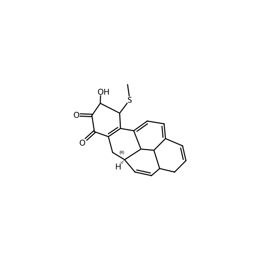 CSC1C2=C(C[C@@H]3C=CC4CC=CC5=CC=C2C3C54)C(=O)C(=O)C1O